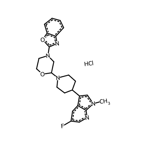 Cl.Cn1cc(C2CCN(C3CN(c4nc5ccccc5o4)CCO3)CC2)c2cc(F)cnc21